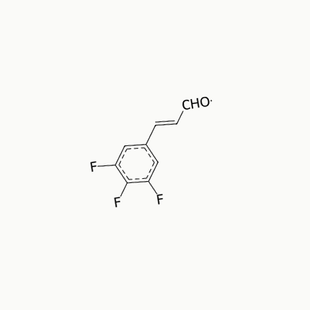 O=[C]C=Cc1cc(F)c(F)c(F)c1